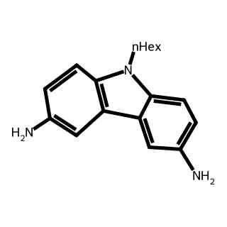 CCCCCCn1c2ccc(N)cc2c2cc(N)ccc21